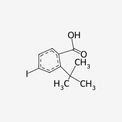 CC(C)(C)c1cc(I)ccc1C(=O)O